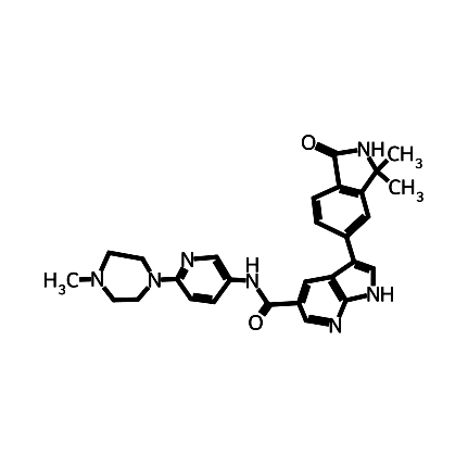 CN1CCN(c2ccc(NC(=O)c3cnc4[nH]cc(-c5ccc6c(c5)C(C)(C)NC6=O)c4c3)cn2)CC1